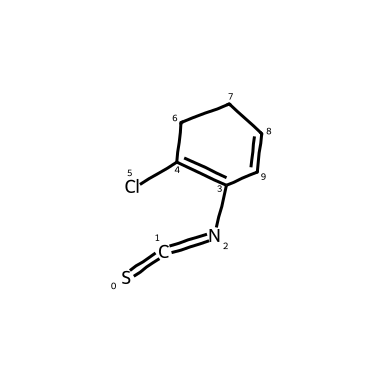 S=C=NC1=C(Cl)CCC=C1